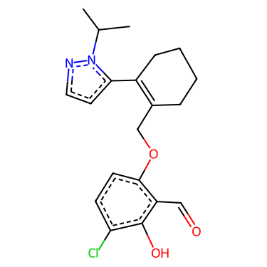 CC(C)n1nccc1C1=C(COc2ccc(Cl)c(O)c2C=O)CCCC1